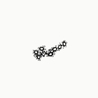 c1ccc(-c2ccc(-c3ccc4sc5c(-c6nc(-c7ccccc7)nc(-c7cccc8oc9ccccc9c78)n6)cccc5c4c3)cc2)cc1